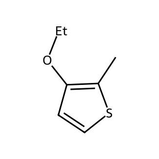 CCOc1ccsc1C